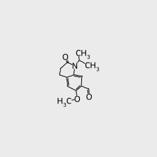 COc1cc2c(cc1C=O)N(C(C)C)C(=O)CC2